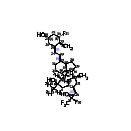 [2H]C([2H])([2H])C(O)(CCCC(C)(C/C=C/C(O)(F)C(F)(F)F)[C@H]1CCC2/C(=C/C=C3/C[C@@H](O)C[C@H](F)C3=C)CCC[C@@]21C)C([2H])([2H])[2H]